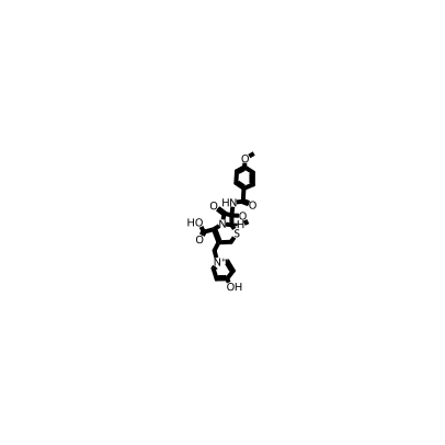 COc1ccc(C(=O)NC2(OC)C(=O)N3C(C(=O)O)=C(C[n+]4ccc(O)cc4)CS[C@H]32)cc1